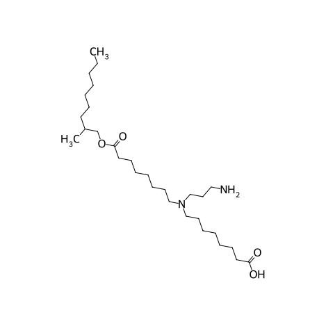 CCCCCCCC(C)COC(=O)CCCCCCCN(CCCN)CCCCCCCC(=O)O